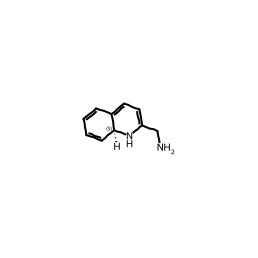 NCC1=CC=C2C=CC=C[C@@H]2N1